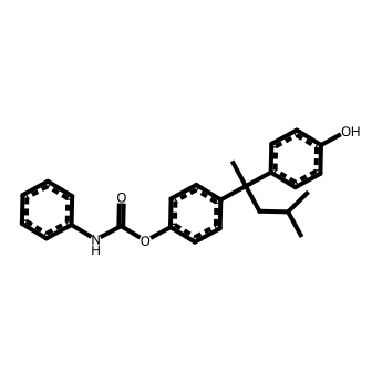 CC(C)CC(C)(c1ccc(O)cc1)c1ccc(OC(=O)Nc2ccccc2)cc1